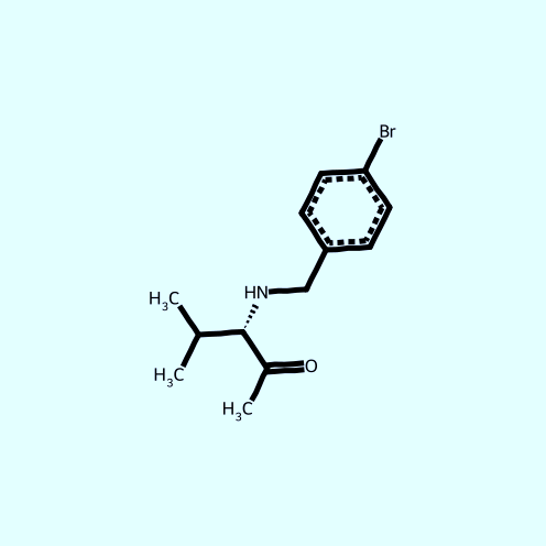 CC(=O)[C@@H](NCc1ccc(Br)cc1)C(C)C